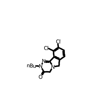 CCCCN1N=C2c3c(ccc(Cl)c3Cl)CN2CC1=O